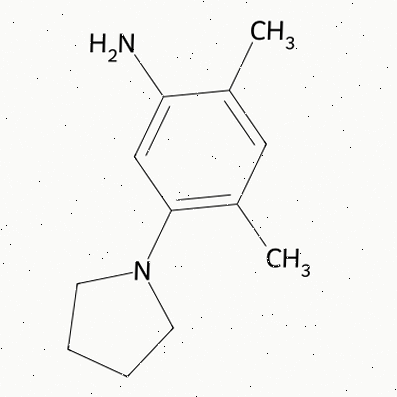 Cc1cc(C)c(N2CCCC2)cc1N